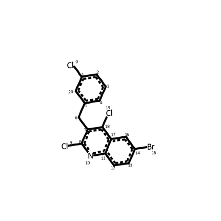 Clc1cccc(Cc2c(Cl)nc3ccc(Br)cc3c2Cl)c1